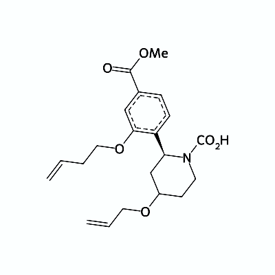 C=CCCOc1cc(C(=O)OC)ccc1[C@@H]1CC(OCC=C)CCN1C(=O)O